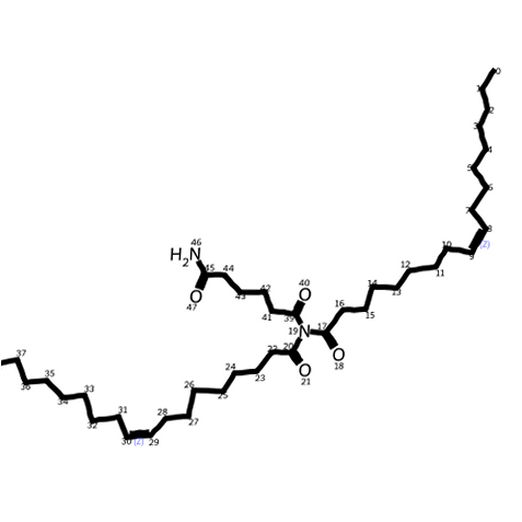 CCCCCCCC/C=C\CCCCCCCC(=O)N(C(=O)CCCCCCC/C=C\CCCCCCCC)C(=O)CCCCC(N)=O